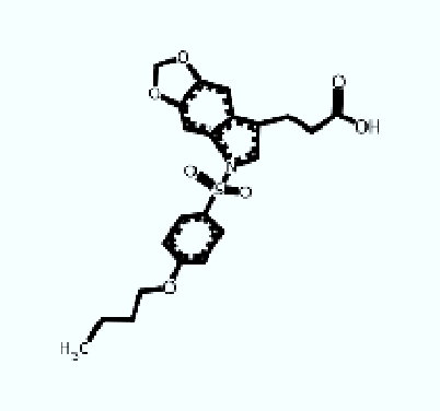 CCCCOc1ccc(S(=O)(=O)n2cc(CCC(=O)O)c3cc4c(cc32)OCO4)cc1